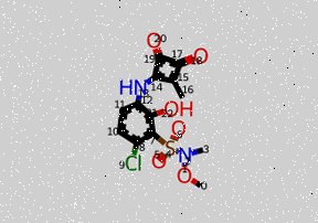 CON(C)S(=O)(=O)c1c(Cl)ccc(Nc2c(C)c(=O)c2=O)c1O